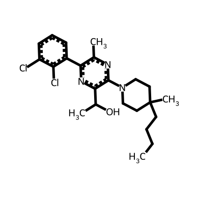 CCCCC1(C)CCN(c2nc(C)c(-c3cccc(Cl)c3Cl)nc2C(C)O)CC1